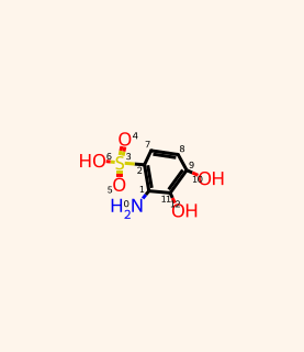 Nc1c(S(=O)(=O)O)ccc(O)c1O